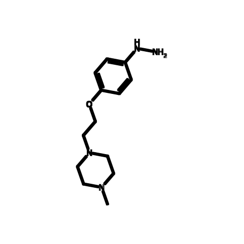 CN1CCN(CCOc2ccc(NN)cc2)CC1